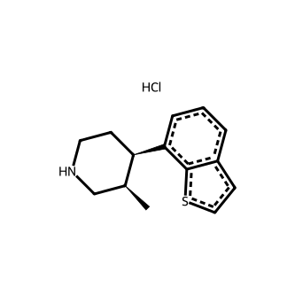 C[C@H]1CNCC[C@H]1c1cccc2ccsc12.Cl